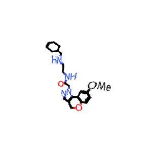 COc1ccc2c(c1)-c1c(cnn1CC(=O)NCCNCC1CCCCC1)CO2